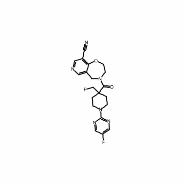 N#Cc1cncc2c1OCCN(C(=O)C1(CF)CCN(c3ncc(F)cn3)CC1)C2